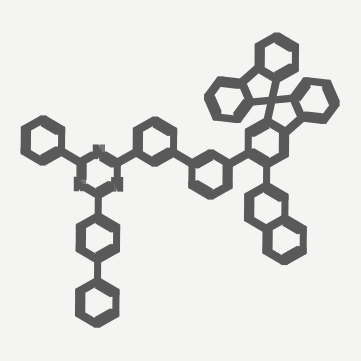 c1ccc(-c2ccc(-c3nc(-c4ccccc4)nc(-c4cccc(-c5cccc(-c6cc7c(cc6-c6ccc8ccccc8c6)-c6ccccc6C76c7ccccc7-c7ccccc76)c5)c4)n3)cc2)cc1